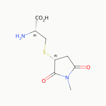 CN1C(=O)C[C@@H](SC[C@H](N)C(=O)O)C1=O